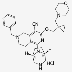 Cl.N#Cc1c(OCC2(CN3CCOCC3)CC2)nc(N2[C@@H]3CC[C@H]2CNC3)c2c1CN(Cc1ccccc1)CC2